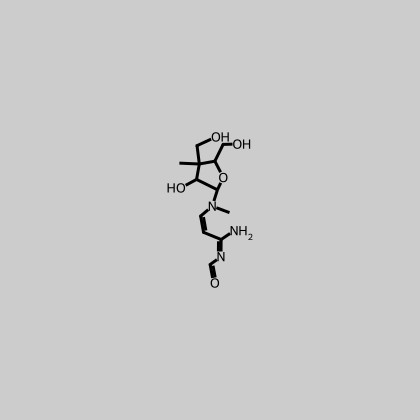 CN(/C=C\C(N)=N/C=O)C1OC(CO)C(C)(CO)C1O